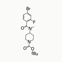 CN(C(=O)c1ccc(Br)cc1F)C1CCN(C(=O)OC(C)(C)C)CC1